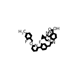 Cc1ccc(COc2cccc(-c3ccc(Cc4nc5ccc(C(=O)O)cc5n4CC4(n5ccnn5)CC4)cc3F)n2)c(F)c1